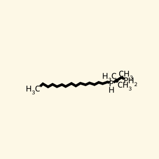 CCCCCCCCCCCCCCCCPC(C)(C)C(C)P